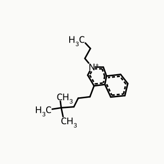 CCC[n+]1cc(CCCC(C)(C)C)c2ccccc2c1